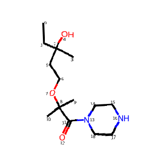 CCC(C)(O)CCOC(C)(C)C(=O)N1CCNCC1